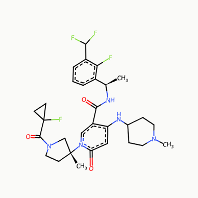 C[C@@H](NC(=O)c1cn([C@]2(C)CCN(C(=O)C3(F)CC3)C2)c(=O)cc1NC1CCN(C)CC1)c1cccc(C(F)F)c1F